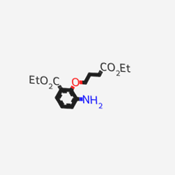 CCOC(=O)CCCOc1c(N)cccc1C(=O)OCC